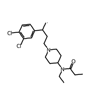 [CH2]C(CCN1CCC(N(CC)C(=O)CC)CC1)c1ccc(Cl)c(Cl)c1